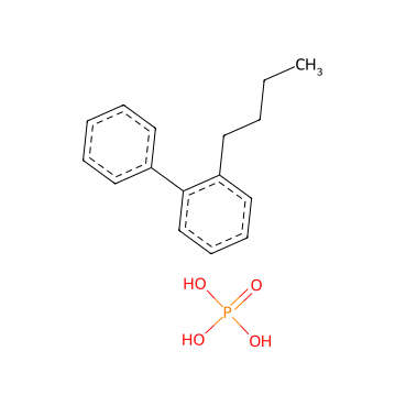 CCCCc1ccccc1-c1ccccc1.O=P(O)(O)O